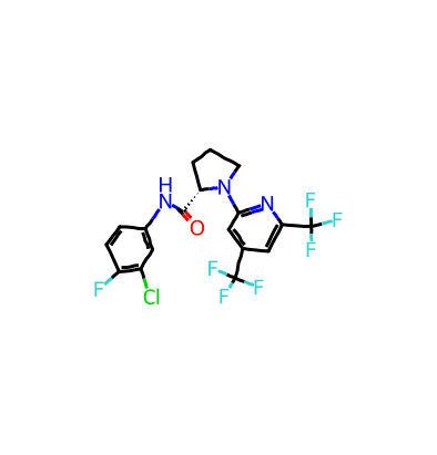 O=C(Nc1ccc(F)c(Cl)c1)[C@@H]1CCCN1c1cc(C(F)(F)F)cc(C(F)(F)F)n1